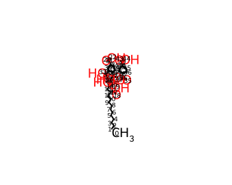 CCCCCCCCCCC=CC(CC(=O)O)C(=O)O.O=C(O)c1ccc(C(=O)O)c(C(=O)O)c1.O=C(O)c1ccc(C(=O)O)cc1